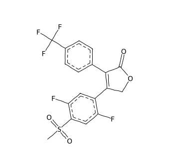 CS(=O)(=O)c1cc(F)c(C2=C(c3ccc(C(F)(F)F)cc3)C(=O)OC2)cc1F